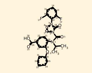 CC(C)N(C(=O)n1nnn(-c2c(F)cccc2F)c1=O)c1ccc(C(=O)O)cc1Oc1ccccc1